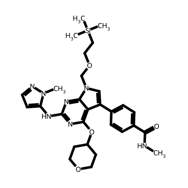 CNC(=O)c1ccc(-c2cn(COCC[Si](C)(C)C)c3nc(Nc4ccnn4C)nc(OC4CCOCC4)c23)cc1